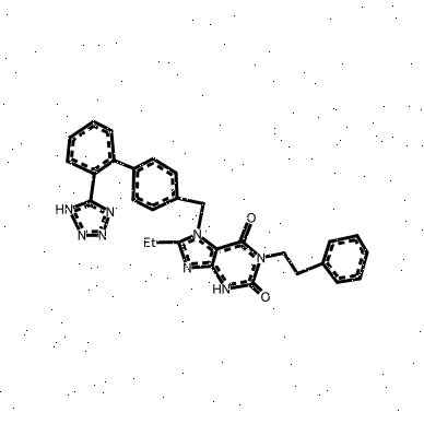 CCc1nc2[nH]c(=O)n(CCc3ccccc3)c(=O)c2n1Cc1ccc(-c2ccccc2-c2nnn[nH]2)cc1